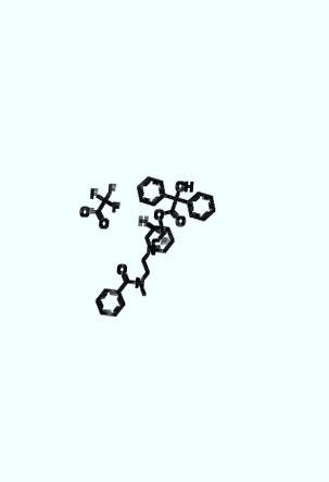 CN(CC[N+]12CCC(CC1)[C@@H](OC(=O)C(O)(c1ccccc1)c1ccccc1)C2)C(=O)c1ccccc1.O=C([O-])C(F)(F)F